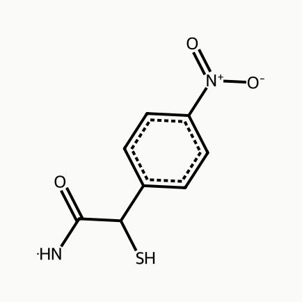 [NH]C(=O)C(S)c1ccc([N+](=O)[O-])cc1